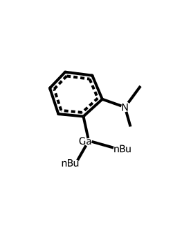 CCC[CH2][Ga]([CH2]CCC)[c]1ccccc1N(C)C